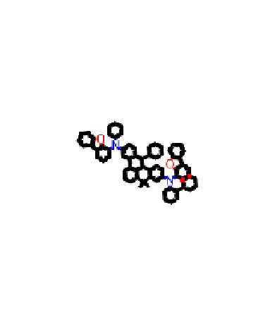 CC1(C)c2cc(N(c3ccccc3-c3ccccc3)c3cccc4c3oc3ccccc34)ccc2-c2c(-c3ccccc3)c3ccc(N(c4ccccc4)c4cccc5c4oc4ccccc45)cc3c3cccc1c23